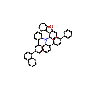 c1ccc(-c2ccc(-c3ccccc3N(c3ccccc3-c3cccc(-c4cccc5ccccc45)c3)c3cccc4oc5ccccc5c34)cc2)cc1